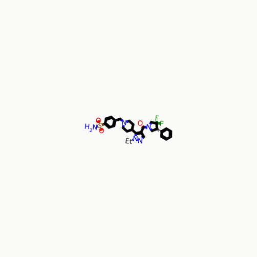 CCn1ncc(C(=O)N2C[C@@H](c3ccccc3)C(F)(F)C2)c1C1CCN(Cc2ccc(S(N)(=O)=O)cc2)CC1